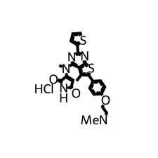 CNCCOc1ccc(-c2sc3nc(-c4cccs4)nc(N(C)C4=CC(=O)NC4=O)c3c2C)cc1.Cl